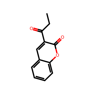 CCC(=O)c1cc2ccccc2oc1=O